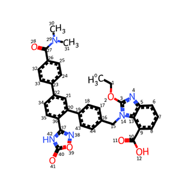 CCOc1nc2cccc(C(=O)O)c2n1Cc1ccc(-c2cc(-c3ccc(C(=O)N(C)C)cc3)ccc2-c2noc(=O)[nH]2)cc1